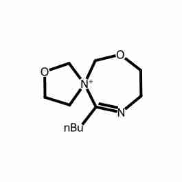 CCCCC1=NCCOC[N+]12CCOC2